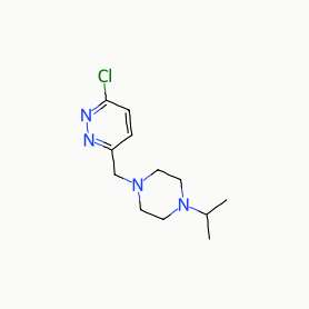 CC(C)N1CCN(Cc2ccc(Cl)nn2)CC1